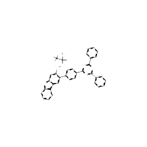 CC1(C)OB(c2cc3oc4ccccc4c3cc2-c2ccc(-c3nc(-c4ccccc4)nc(-c4ccccc4)n3)cc2)OC1(C)C